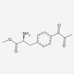 COC(=O)[C@@H](N)Cc1ccc(C(=O)C(C)=O)cc1